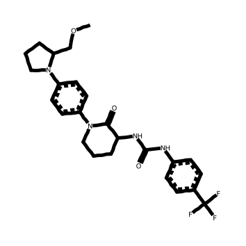 COCC1CCCN1c1ccc(N2CCCC(NC(=O)Nc3ccc(C(F)(F)F)cc3)C2=O)cc1